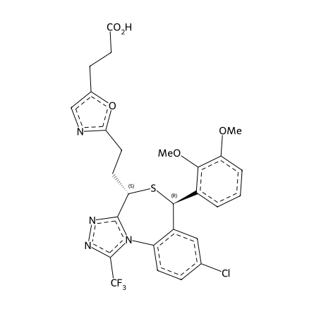 COc1cccc([C@@H]2S[C@@H](CCc3ncc(CCC(=O)O)o3)c3nnc(C(F)(F)F)n3-c3ccc(Cl)cc32)c1OC